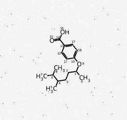 CC(CCC(C)C(C)C)Oc1ccc(C(=O)O)cc1